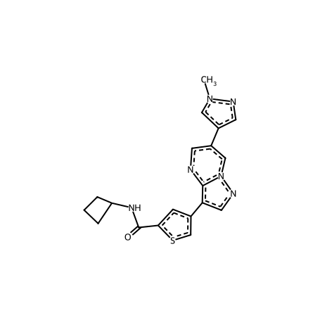 Cn1cc(-c2cnc3c(-c4csc(C(=O)NC5CCC5)c4)cnn3c2)cn1